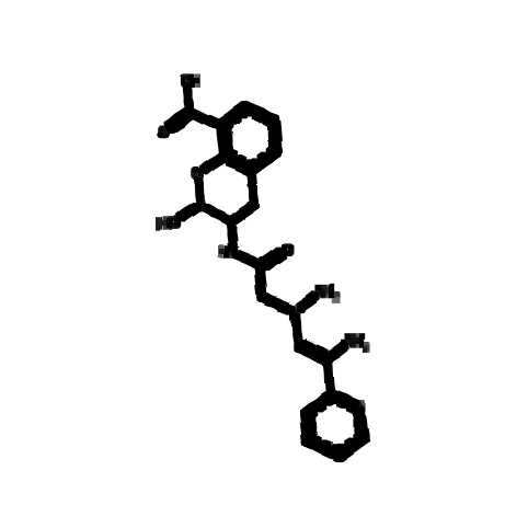 N/C(=C\N(N)CC(=O)NC1Cc2cccc(C(=O)O)c2OB1O)c1ccccn1